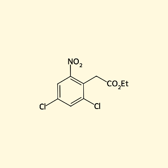 CCOC(=O)Cc1c(Cl)cc(Cl)cc1[N+](=O)[O-]